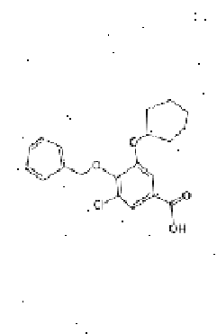 O=C(O)c1cc(Cl)c(OCc2ccccc2)c(OC2CCCCC2)c1